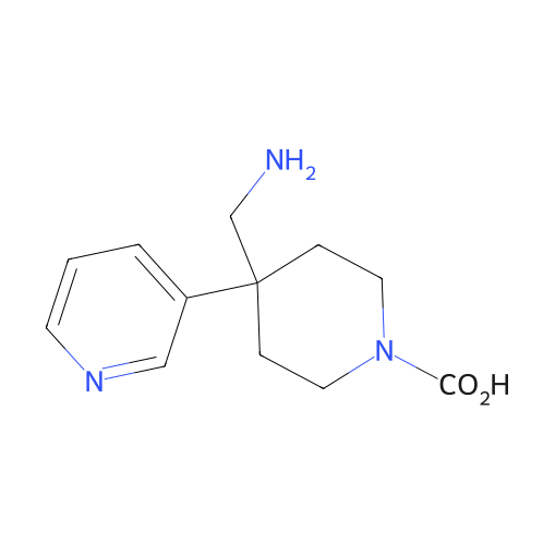 NCC1(c2cccnc2)CCN(C(=O)O)CC1